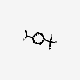 [CH2]C(F)c1ccc(C(F)(F)F)cc1